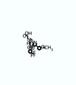 CCOc1cccc(-c2cnc3c(c2)N(S(=O)(=O)c2cccc(C(F)(F)F)c2)C[C@@H]2CN(CCC(=O)O)CCN32)c1